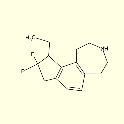 CCC1c2c(ccc3c2CCNCC3)CC1(F)F